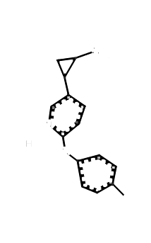 Cc1ccc(Nc2ccc(C3CC3N)cn2)cc1.Cl